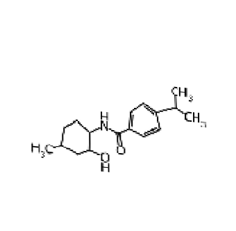 CC1CCC(NC(=O)c2ccc(C(C)C)cc2)C(O)C1